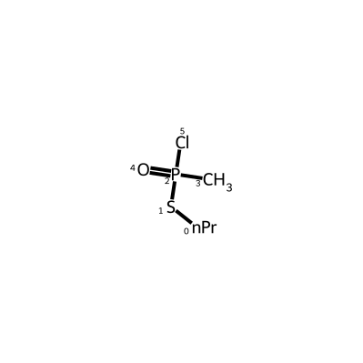 CCCSP(C)(=O)Cl